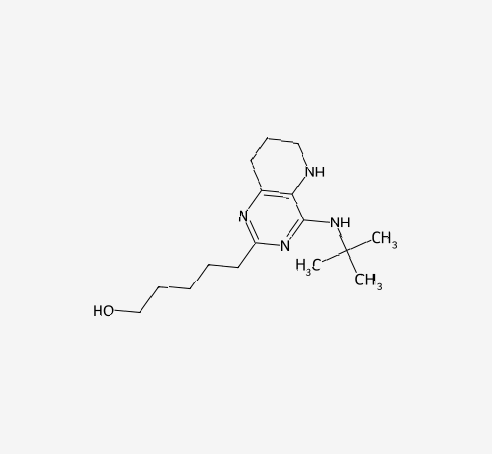 CC(C)(C)Nc1nc(CCCCCO)nc2c1NCCC2